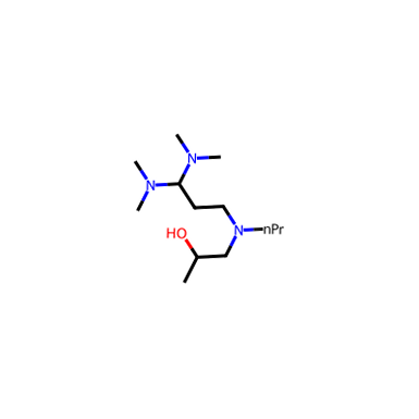 CCCN(CCC(N(C)C)N(C)C)CC(C)O